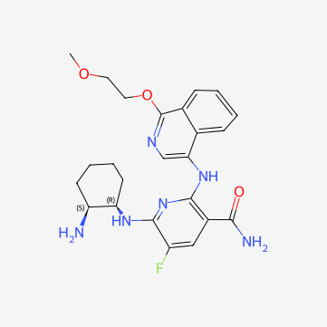 COCCOc1ncc(Nc2nc(N[C@@H]3CCCC[C@@H]3N)c(F)cc2C(N)=O)c2ccccc12